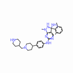 Cc1cccc(C)c1C1(N)NN(C)c2nc(Nc3ccc(C4CCN(CC5CCNCC5)CC4)cc3)ncc21